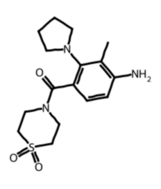 Cc1c(N)ccc(C(=O)N2CCS(=O)(=O)CC2)c1N1CCCC1